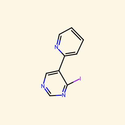 Ic1ncncc1-c1ccccn1